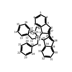 CC1=Cc2ccccc2[CH]1[Hf]([CH2]c1ccccc1)([CH2]c1ccccc1)([CH]1C(C)=Cc2ccccc21)[SiH](C)C